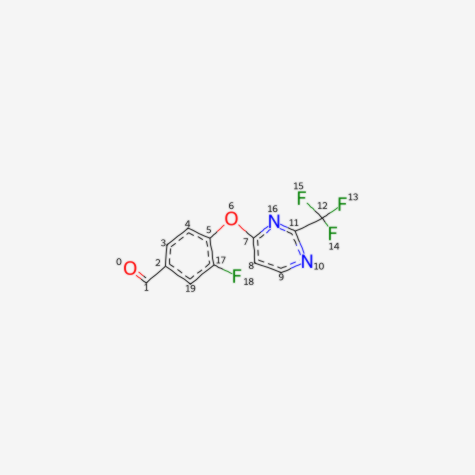 O=Cc1ccc(Oc2ccnc(C(F)(F)F)n2)c(F)c1